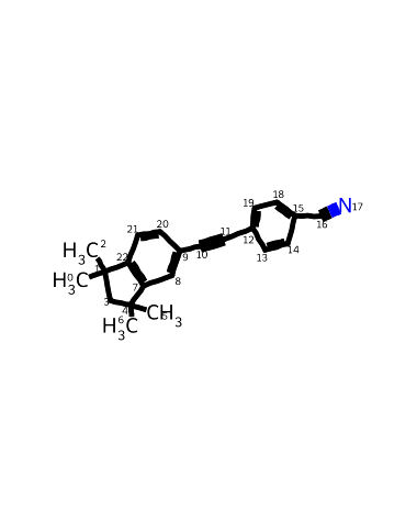 CC1(C)CC(C)(C)c2cc(C#Cc3ccc(C#N)cc3)ccc21